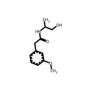 COc1cccc(CC(=O)NC(C)CO)c1